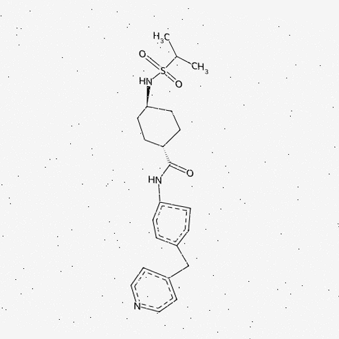 CC(C)S(=O)(=O)N[C@H]1CC[C@H](C(=O)Nc2ccc(Cc3ccncc3)cc2)CC1